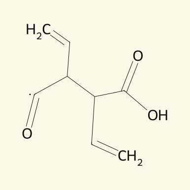 C=CC([C]=O)C(C=C)C(=O)O